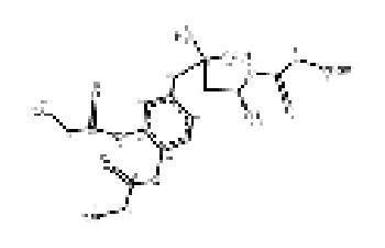 CCCCCOC(=O)O[C@@H](C)CC(N)(Cc1ccc(OC(=O)CC(C)(C)C)c(OC(=O)CC(C)(C)C)c1)C(=O)O